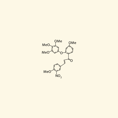 COc1ccc(C(=O)/C=C/c2ccc(OC)c([N+](=O)[O-])c2)c(Oc2cc(OC)c(OC)c(OC)c2)c1